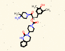 Cc1cc(C[C@@H](OC(=O)N2CCC(N3CCc4ccccc4NC3=O)CC2)C(=O)N2CCC(C)(N)CC2)cc(C)c1O